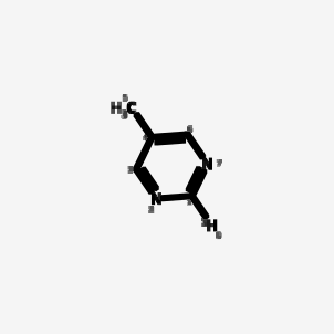 [3H]c1ncc(C)cn1